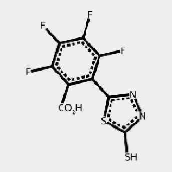 O=C(O)c1c(F)c(F)c(F)c(F)c1-c1nnc(S)s1